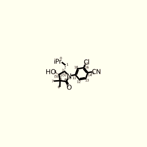 CC(C)C[C@H]1[C@@H](O)C(C)(C)C(=O)N1c1ccc(C#N)c(Cl)c1